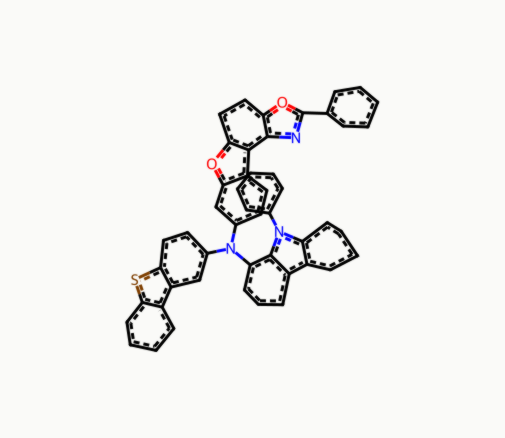 c1ccc(-c2nc3c(ccc4oc5cc(N(c6ccc7sc8ccccc8c7c6)c6cccc7c8ccccc8n(-c8ccccc8)c67)ccc5c43)o2)cc1